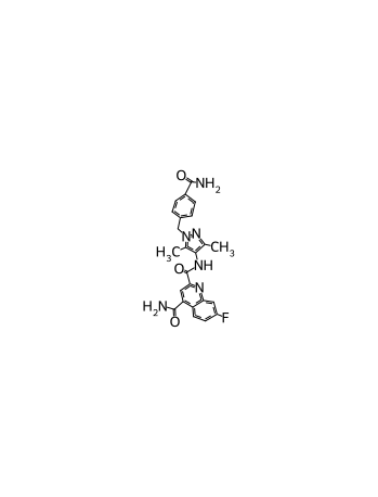 Cc1nn(Cc2ccc(C(N)=O)cc2)c(C)c1NC(=O)c1cc(C(N)=O)c2ccc(F)cc2n1